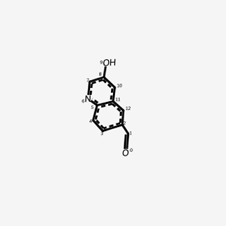 O=Cc1ccc2ncc(O)cc2c1